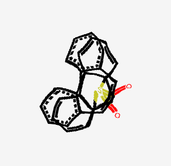 O=S1(=O)C23C=CC=CC2(c2ccccc2C=C3)C23C=CC=CC21C=Cc1ccccc13